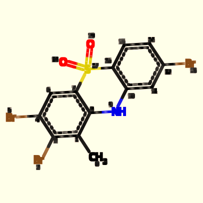 Cc1c(Br)c(Br)cc2c1Nc1cc(Br)ccc1S2(=O)=O